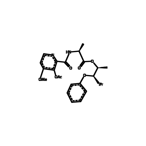 COc1ccnc(C(=O)N[C@@H](C)C(=O)O[C@@H](C)[C@H](Oc2ccccc2)C(C)C)c1OC(C)=O